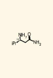 CC(C)[C@@H](N)CC(N)=O